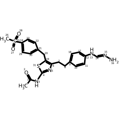 CC(=O)Nc1nc(CCc2ccc(NC=NN)cc2)c(Cc2ccc(S(C)(=O)=O)cc2)s1